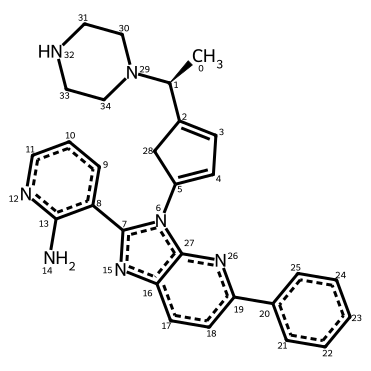 C[C@@H](C1=CC=C(n2c(-c3cccnc3N)nc3ccc(-c4ccccc4)nc32)C1)N1CCNCC1